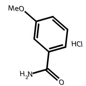 COc1cccc(C(N)=O)c1.Cl